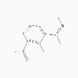 C=C(C)c1cccc(/C(C)=N\C)c1C